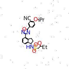 CCC(=O)CS(=O)(=O)N[C@@H]1CCc2c(-c3noc(-c4ccc(OC(C)C)c(C#N)c4)n3)cccc21